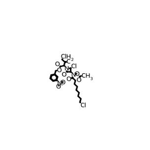 C=C(CCl)C(C(=O)OCc1cccc([N+](=O)[O-])c1)N1C(=O)C(N(OC(C)=O)C(=O)CCCCCCCCCl)C1Cl